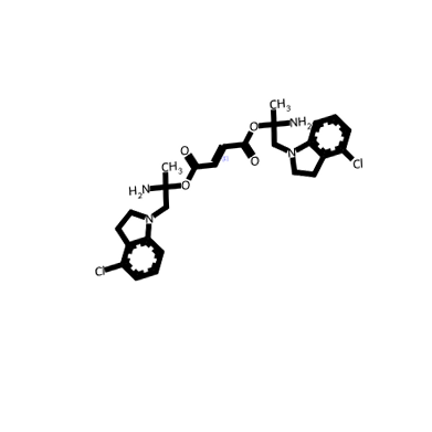 CC(N)(CN1CCc2c(Cl)cccc21)OC(=O)/C=C/C(=O)OC(C)(N)CN1CCc2c(Cl)cccc21